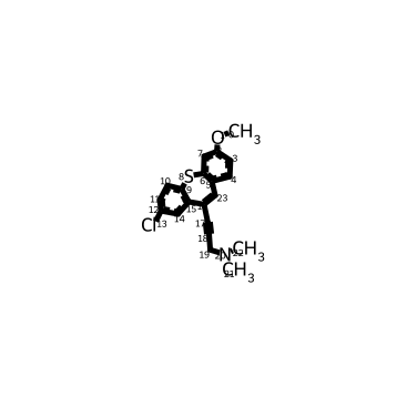 COc1ccc2c(c1)Sc1ccc(Cl)cc1C(C#CCN(C)C)=C2